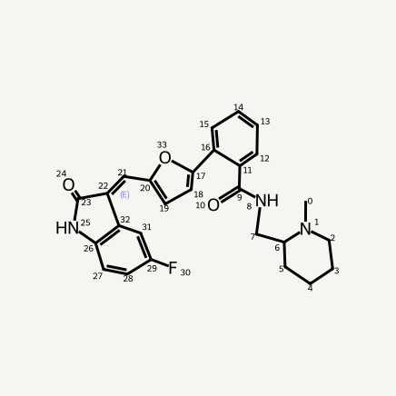 CN1CCCCC1CNC(=O)c1ccccc1-c1ccc(/C=C2/C(=O)Nc3ccc(F)cc32)o1